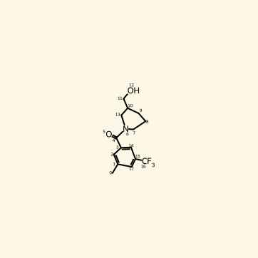 Cc1cc(C(=O)N2CCCC(CO)C2)cc(C(F)(F)F)c1